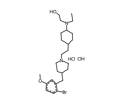 CCN(CCO)C1CCC(CCN2CCC(Cc3cc(OC)ccc3Br)CC2)CC1.Cl.Cl